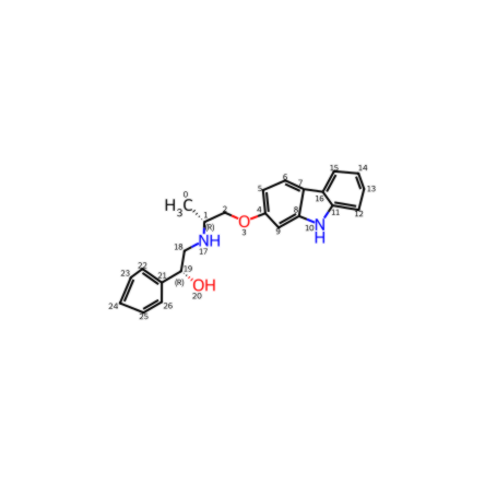 C[C@H](COc1ccc2c(c1)[nH]c1ccccc12)NC[C@H](O)c1ccccc1